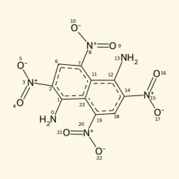 Nc1c([N+](=O)[O-])cc([N+](=O)[O-])c2c(N)c([N+](=O)[O-])cc([N+](=O)[O-])c12